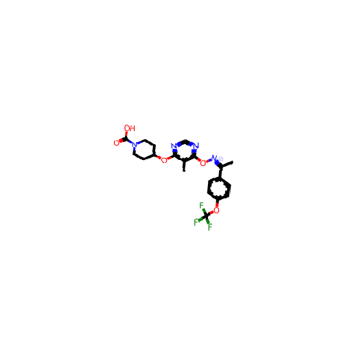 C/C(=N/Oc1ncnc(OC2CCN(C(=O)O)CC2)c1C)c1ccc(OC(F)(F)F)cc1